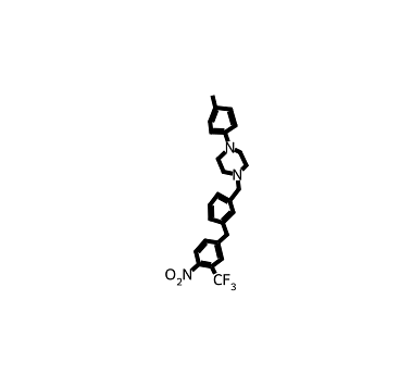 Cc1ccc(N2CCN(Cc3cccc(Cc4ccc([N+](=O)[O-])c(C(F)(F)F)c4)c3)CC2)cc1